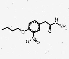 CCCCOc1ccc(CC(=O)NN)cc1[N+](=O)[O-]